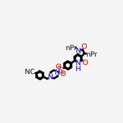 CCCC1C(=O)N(CCC)c2cc(-c3ccc(S(=O)(=O)N4CCN(Cc5ccc(C#N)cc5)CC4)cc3)[nH]c(=O)c21